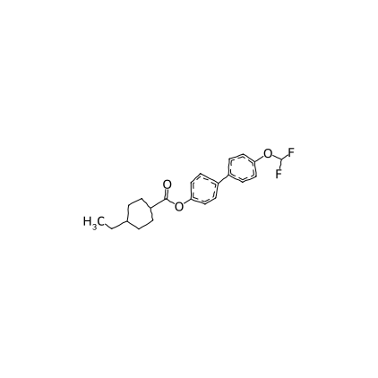 CCC1CCC(C(=O)Oc2ccc(-c3ccc(OC(F)F)cc3)cc2)CC1